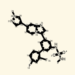 CNS(=O)(=O)Nc1cc(-c2ccc(F)cc2F)cc(-c2cnc3cc(-c4cnn(C)c4)ccn23)c1